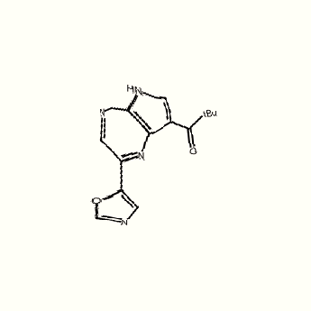 CC(C)(C)C(=O)c1c[nH]c2ncc(-c3cnco3)nc12